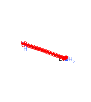 CCOCc1nc2c(N)nc3ccccc3c2n1CC(C)(C)OCCOCCOCCOCCOCCOCCOCCOCCOCCOCCOCCOCCOCCOCCOCCOCCOCCOCCOCCOCCOCCOCCOCCOCCNC(=O)CCN1C(=O)C(C)=C(C)C1=O